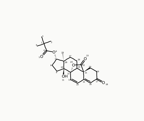 CC(C)(C)C(=O)O[C@H]1CC[C@@]2(O)[C@@]34C=CC5=CC(=O)CC[C@]5(C(=O)O3)C4CC[C@]12C